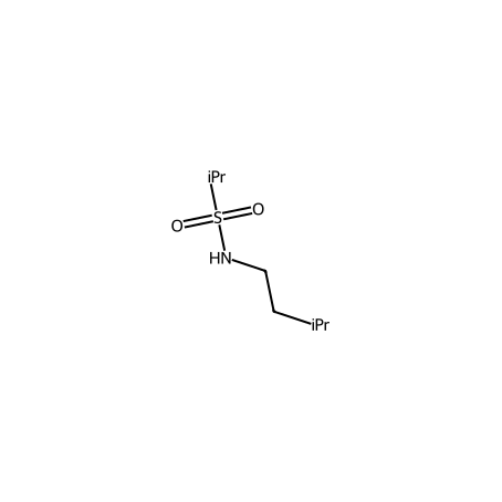 CC(C)CCNS(=O)(=O)C(C)C